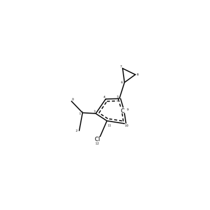 C[C](C)c1cc(C2CC2)ccc1Cl